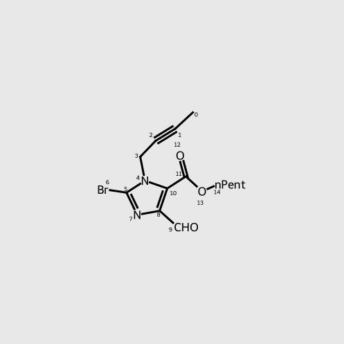 CC#CCn1c(Br)nc(C=O)c1C(=O)OCCCCC